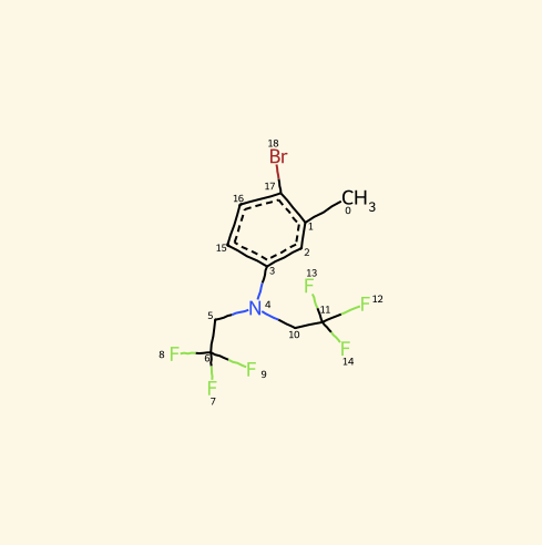 Cc1cc(N(CC(F)(F)F)CC(F)(F)F)ccc1Br